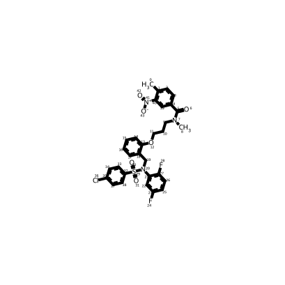 Cc1ccc(C(=O)N(C)CCCOc2ccccc2CN(c2cc(F)ccc2F)S(=O)(=O)c2ccc(Cl)cc2)cc1[N+](=O)[O-]